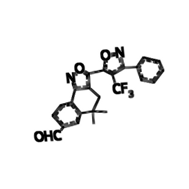 CC1(C)Cc2c(noc2-c2onc(-c3ccccc3)c2C(F)(F)F)-c2ccc(C=O)cc21